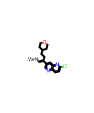 CN/C=C(\CCC1CCOCC1)c1cnc2ccc(Cl)nc2c1